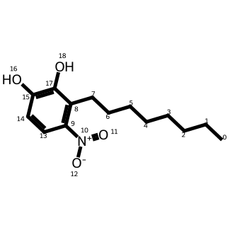 CCCCCCCCc1c([N+](=O)[O-])ccc(O)c1O